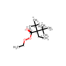 CCOOC(=O)C(CC)(C(C)(C)C)C(C)(C)C